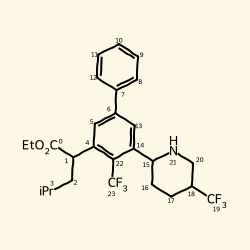 CCOC(=O)C(CC(C)C)c1cc(-c2ccccc2)cc(C2CCC(C(F)(F)F)CN2)c1C(F)(F)F